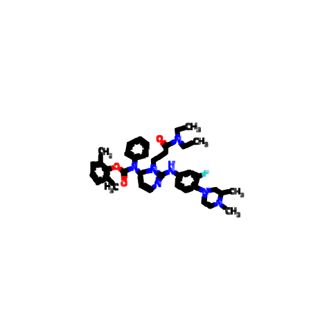 CCN(CC)C(=O)CCN1C(Nc2ccc(N3CCN(C)C(C)C3)c(F)c2)=NC=CC1N(C(=O)Oc1c(C)cccc1C)c1ccccc1